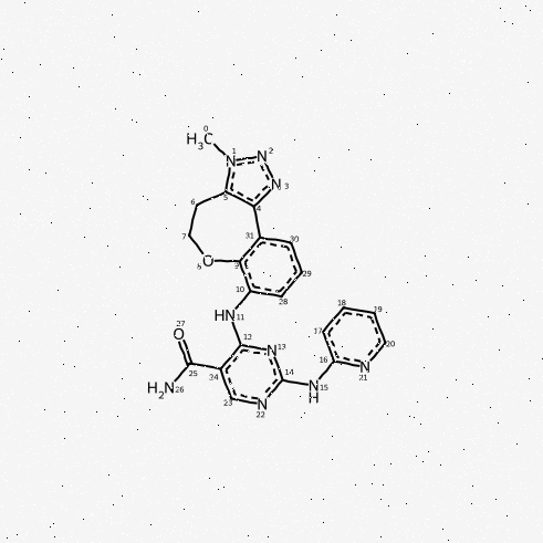 Cn1nnc2c1CCOc1c(Nc3nc(Nc4ccccn4)ncc3C(N)=O)cccc1-2